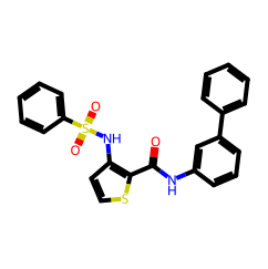 O=C(Nc1cccc(-c2ccccc2)c1)c1sccc1NS(=O)(=O)c1ccccc1